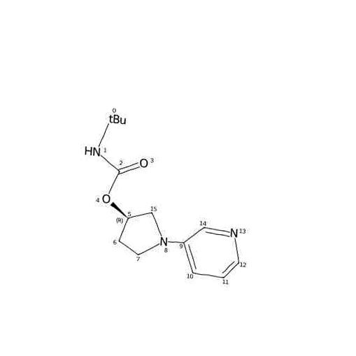 CC(C)(C)NC(=O)O[C@@H]1CCN(c2cccnc2)C1